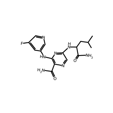 CC(C)CC(Nc1cnc(C(N)=O)c(Nc2cncc(F)c2)n1)C(N)=O